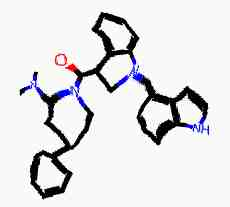 CN(C)C1CC(c2ccccc2)CCN1C(=O)C1CN(Cc2cccc3[nH]ccc23)c2ccccc21